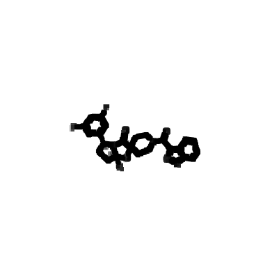 O=C(c1onc2ccccc12)N1CCC2(CC1)O[C@@H]1CC[C@@H](c3cc(F)cc(F)c3)N1C2=O